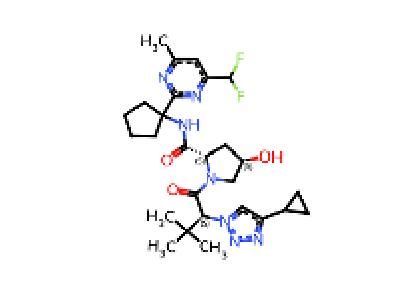 Cc1cc(C(F)F)nc(C2(NC(=O)[C@@H]3C[C@@H](O)CN3C(=O)[C@@H](n3cc(C4CC4)nn3)C(C)(C)C)CCCC2)n1